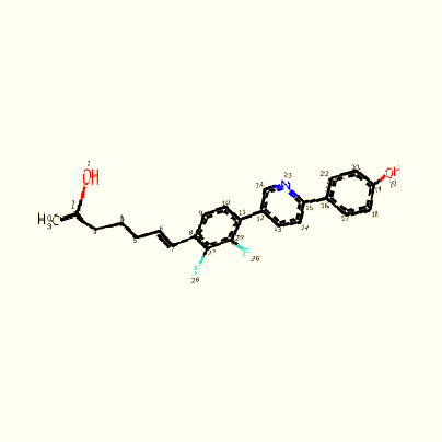 CC(O)CCCC=Cc1ccc(-c2ccc(-c3ccc(O)cc3)nc2)c(F)c1F